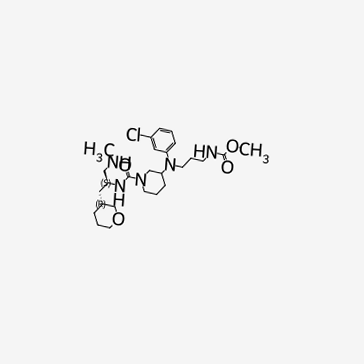 CNC[C@H](C[C@H]1CCCOC1)NC(=O)N1CCCC(N(CCCNC(=O)OC)c2cccc(Cl)c2)C1